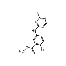 COC(=O)c1cc(Nc2ccnc(Cl)n2)ccc1Cl